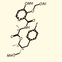 COC[C@@H](Cc1ccc(F)cc1)[C@H](C)OC(=O)[C@H](C)NC(=O)c1nccc(OC)c1OCOC(C)=O